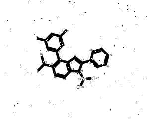 Cc1cc(C)cc(-c2c(C(C)C)ccc3c2C=C(c2ccccc2)[CH]3[Zr]([Cl])[Cl])c1